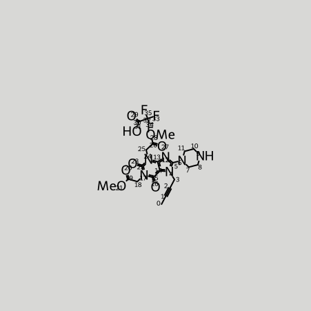 CC#CCn1c(N2CCNCC2)nc2c1c(=O)n(CC(=O)OC)c(=O)n2CC(=O)OC.O=C(O)C(F)(F)F